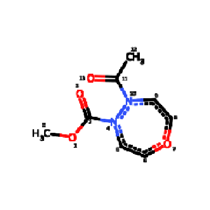 COC(=O)n1ccoccn1C(C)=O